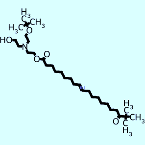 CC(C)(C)OCCN(CCO)CCOC(=O)CCCCCCC/C=C/CCCCCCCC(=O)C(C)(C)C